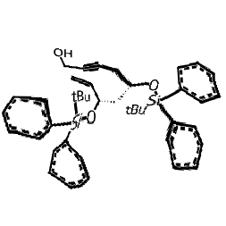 C=C[C@H](C[C@H](CC#CCO)O[Si](c1ccccc1)(c1ccccc1)C(C)(C)C)O[Si](c1ccccc1)(c1ccccc1)C(C)(C)C